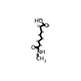 CCNC(=O)CCCCCCC(=O)O